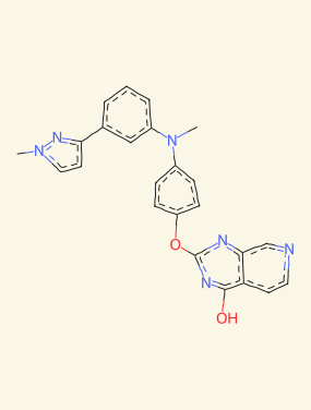 CN(c1ccc(Oc2nc(O)c3ccncc3n2)cc1)c1cccc(-c2ccn(C)n2)c1